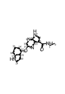 CCNC(=O)c1c[nH]c2ncc(Oc3cccc4[nH]ccc34)nc12